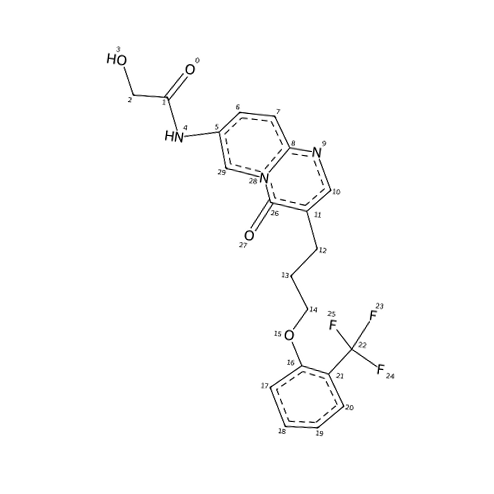 O=C(CO)Nc1ccc2ncc(CCCOc3ccccc3C(F)(F)F)c(=O)n2c1